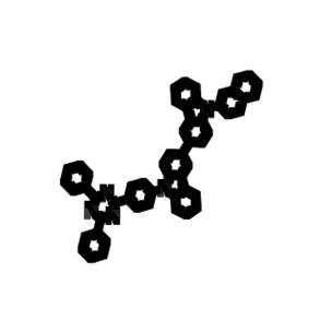 c1ccc(-c2nc(-c3ccccc3)nc(-c3ccc(-n4c5ccccc5c5cc(-c6ccc7c(c6)c6ccccc6n7-c6ccc7ccccc7c6)ccc54)cc3)n2)cc1